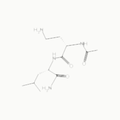 CC(=O)N[C@@H](CCN)C(=O)N[C@@H](CC(C)C)C(N)=O